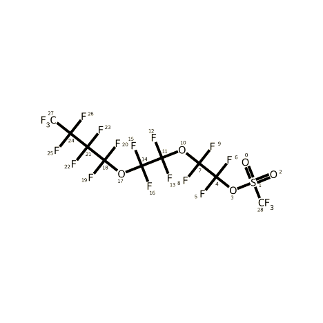 O=S(=O)(OC(F)(F)C(F)(F)OC(F)(F)C(F)(F)OC(F)(F)C(F)(F)C(F)(F)C(F)(F)F)C(F)(F)F